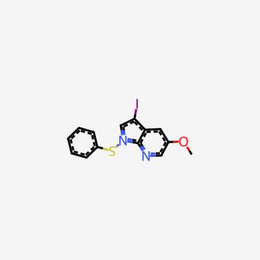 COc1cnc2c(c1)c(I)cn2Sc1ccccc1